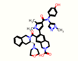 Cc1c(C(=O)N(c2ccc(O)cc2)c2cnn(C)c2)cc(-c2cc3c(cc2C(=O)N2Cc4ccccc4C[C@H]2CN2CCOCC2)CN(C(=O)O)CC3)n1C